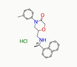 Cc1cccc(N2CC(CN[C@H](C)c3cccc4ccccc34)OCC2=O)c1.Cl